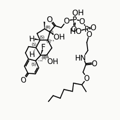 CCCCCCC(C)OCC(=O)NCCOP(=O)(O)OP(=O)(O)OCC(=O)[C@@]1(O)[C@H](C)C[C@H]2[C@@H]3CCC4=CC(=O)C=C[C@]4(C)[C@@]3(F)[C@@H](O)C[C@@]21C